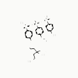 CC(O)(CCO)CCO.Cc1ccc(S(=O)(=O)O)cc1.Cc1ccc(S(=O)(=O)O)cc1.Cc1ccc(S(=O)(=O)O)cc1